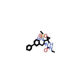 CCNC(=O)N1CC2(CC2)C(NS(=O)(=O)CC)C1Cc1cccc(-c2ccccc2)c1